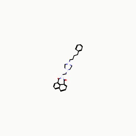 O=C1c2cccc3cccc(c23)C(=O)N1CCN1CCN(CCCCc2ccccc2)CC1